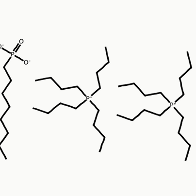 CCCCCCCCP(=O)([O-])[O-].CCCC[P+](CCCC)(CCCC)CCCC.CCCC[P+](CCCC)(CCCC)CCCC